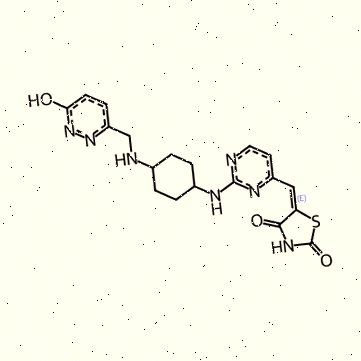 O=C1NC(=O)/C(=C\c2ccnc(NC3CCC(NCc4ccc(O)nn4)CC3)n2)S1